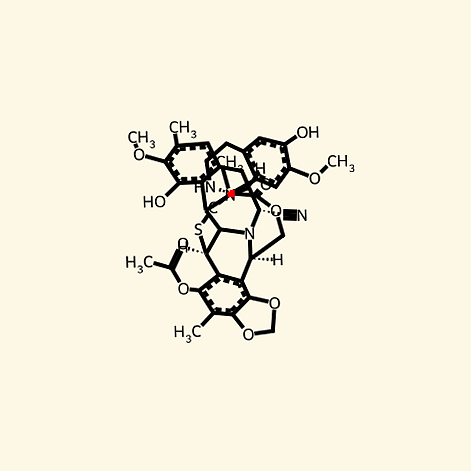 COc1cc2c(cc1O)CCN[C@]21CS[C@@H]2c3c(OC(C)=O)c(C)c4c(c3[C@H](COC1=O)N1C2C2c3c(cc(C)c(OC)c3O)C[C@H]([C@@H]1C#N)N2C)OCO4